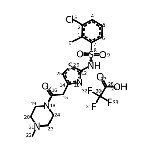 Cc1c(Cl)cccc1S(=O)(=O)Nc1nc(CC(=O)N2CCN(C)CC2)cs1.O=C(O)C(F)(F)F